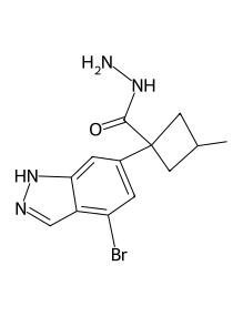 CC1CC(C(=O)NN)(c2cc(Br)c3cn[nH]c3c2)C1